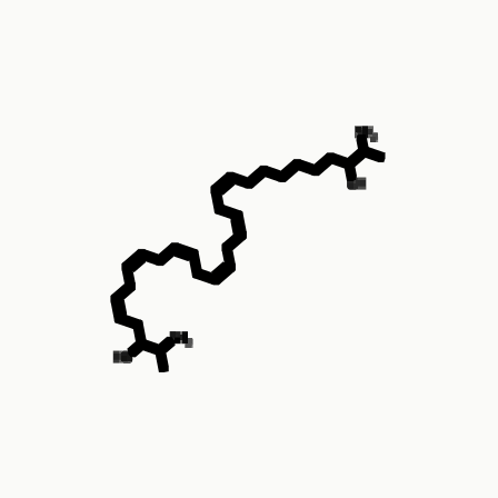 CC(N)C(O)C/C=C\C/C=C\C/C=C\C/C=C\C/C=C\C/C=C\CCCCCCC(O)C(C)N